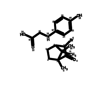 CC12CCC(C(Br)C1=O)C2(C)C.O=C(O)CNc1ccc(O)cc1